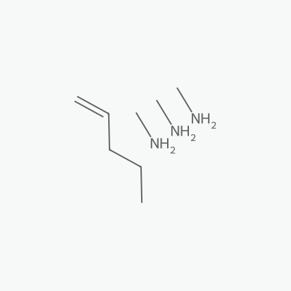 C=CCCC.CN.CN.CN